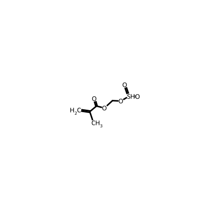 C=C(C)C(=O)OCO[SH](=O)=O